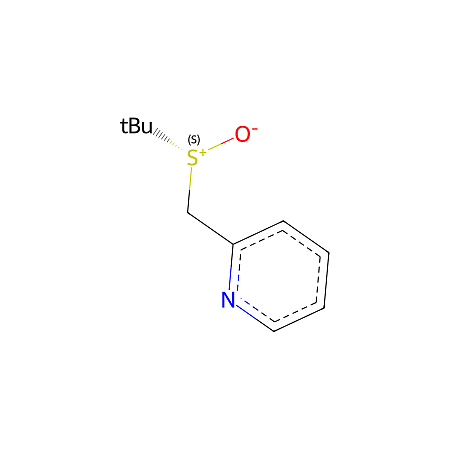 CC(C)(C)[S@+]([O-])Cc1ccccn1